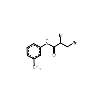 Cc1cccc(NC(=O)C(Br)CBr)c1